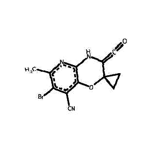 Cc1nc2c(c(C#N)c1Br)OC1(CC1)C(=C=O)N2